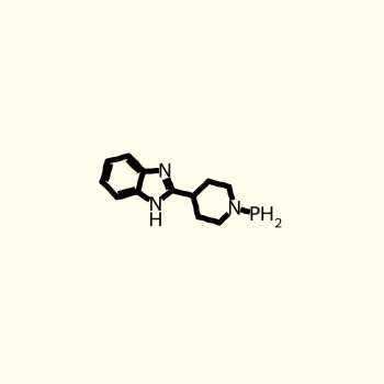 PN1CCC(c2nc3ccccc3[nH]2)CC1